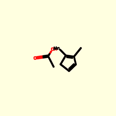 CC(=O)O.CC1=[C]([Mn])CC=C1